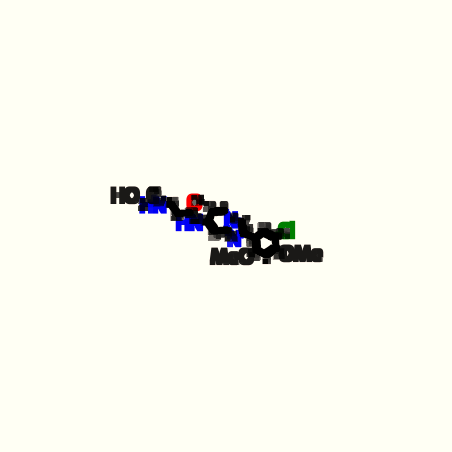 COc1cc(OC)c(-c2cn3ccc(NC(=O)CCNC(=O)O)cc3n2)cc1Cl